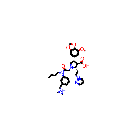 CCCCN(C(=O)CN1C[C@H](c2cc(OC)c3c(c2)OCO3)[C@@H](C(=O)O)[C@@H]1CCn1cccn1)c1cccc(C[N+](C)(C)C)c1